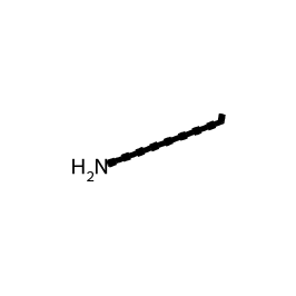 C=CC#CC#CC#CC#CC#CC#CC#CC#CN